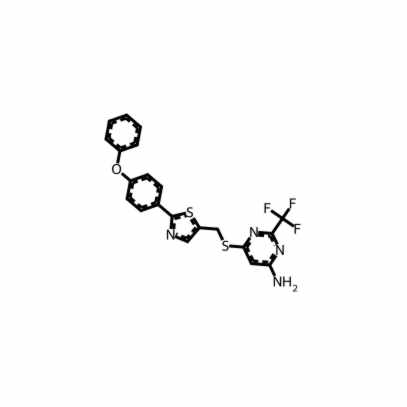 Nc1cc(SCc2cnc(-c3ccc(Oc4ccccc4)cc3)s2)nc(C(F)(F)F)n1